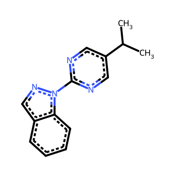 CC(C)c1cnc(-n2ncc3ccccc32)nc1